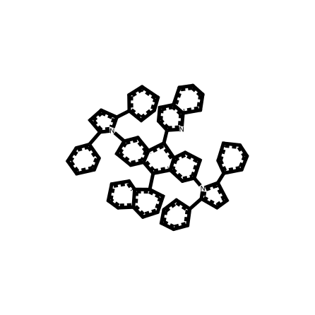 c1ccc(-c2ccc(-c3ccccc3)n2-c2ccc3c(-c4cccc5ccccc45)c4cc(-n5c(-c6ccccc6)ccc5-c5ccccc5)ccc4c(-c4ccc5ccccc5n4)c3c2)cc1